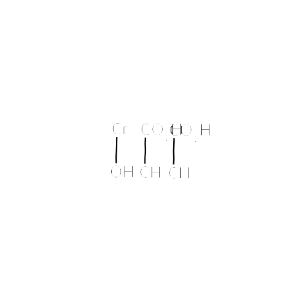 CC(=O)O.CC(=O)O.[OH][Cr]